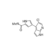 CNC(=O)c1cc(-c2c(Cl)cnc3[nH]ccc23)c[nH]1